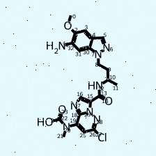 COc1cc2cnn(CCC(C)NC(=O)c3cnc4c(N(C)C(=O)O)cc(Cl)nn34)c2cc1N